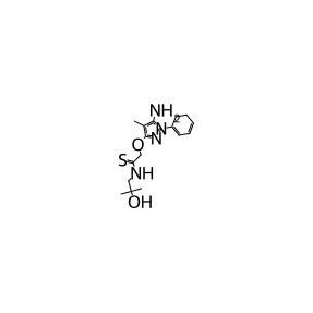 Cc1c(OCC(=S)NCC(C)(C)O)nn(C2=CC=CCC2)c1N